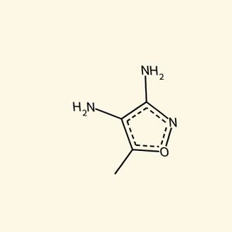 Cc1onc(N)c1N